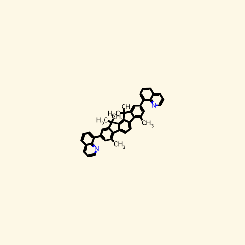 Cc1cc(-c2cccc3cccnc23)cc2c1-c1ccc3c(c1C2(C)C)C(C)(C)c1cc(-c2cccc4cccnc24)cc(C)c1-3